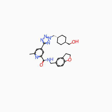 Cc1cc(-c2nnn(C[C@H]3CC[C@H](CO)CC3)n2)cc(C(=O)NCc2ccc3c(c2)CCO3)n1